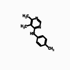 Cc1ccc(Nc2ncnc(C)c2C)cc1